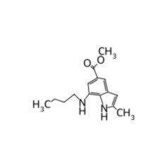 CCCCNc1cc(C(=O)OC)cc2cc(C)[nH]c12